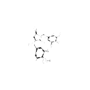 O=C1C=C(Nc2cc(F)c(O)c(F)c2)C(=O)N1Cc1cc(F)c(F)c(F)c1